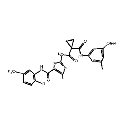 COc1cc(C)cc(NC(=O)C2(C(=O)Nc3nc(C)c(C(=O)Nc4cc(C(F)(F)F)ccc4Cl)s3)CC2)c1